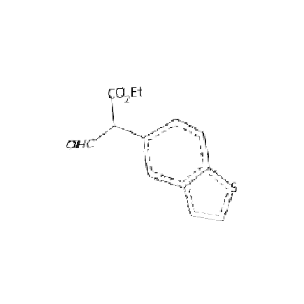 CCOC(=O)C(C=O)c1ccc2sccc2c1